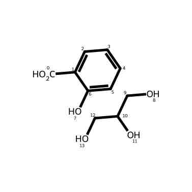 O=C(O)c1ccccc1O.OCC(O)CO